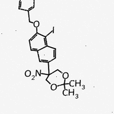 CC1(C)OCC(c2ccc3c(I)c(OCc4ccccc4)ccc3c2)([N+](=O)[O-])CO1